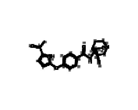 CC(=O)c1ccc(Oc2ccc(C(=O)N[C@H]3CN4CCC3CC4)cc2)[nH]1